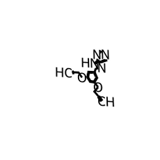 C#CCOc1cc(OCC#C)cc(-c2nc3cncnc3[nH]2)c1